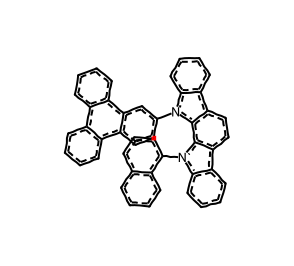 c1ccc2c(-n3c4ccccc4c4ccc5c6ccccc6n(-c6ccc7c8ccccc8c8ccccc8c7c6)c5c43)cccc2c1